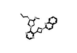 CCC[C@@H]1CN(c2nccnc2C2CN(c3ccc4ccccc4n3)C2)C/C1=N\C